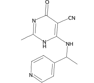 Cc1nc(=O)c(C#N)c(NC(C)c2ccncc2)[nH]1